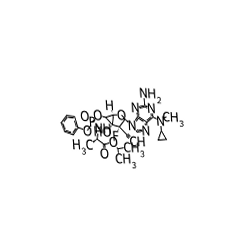 C#C[C@]1(F)[C@H](n2cnc3c(N(C)C4CC4)nc(N)nc32)O[C@@H]2C(O[P@](=O)(N[C@H](C)C(=O)OC(C)C)Oc3ccccc3)[C@@]21O